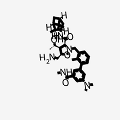 CNC(=O)c1cc(-c2cccc(CN3O[C@@H](CN)[C@@H]([C@H](C)O)[C@H]3C(=O)N[C@H]3C[C@H]4C[C@@H]([C@@H]3C)C4(C)C)c2C)cc(N(C)C)c1